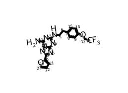 Nc1nc(NCCc2ccc(OCC(F)(F)F)cc2)nc2nc(-c3ccco3)nn12